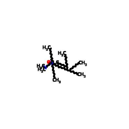 CCCCCCCCCCN(C(=O)CCCN(C)C)C(CCCCCCCCC)CCCCCCCCC(CC(CCCCCC)CCCCCCCC)CC(CCCCCC)CCCCCCCC